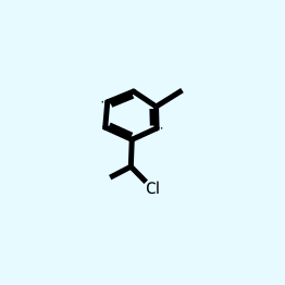 Cc1[c]c(C(C)Cl)c[c]c1